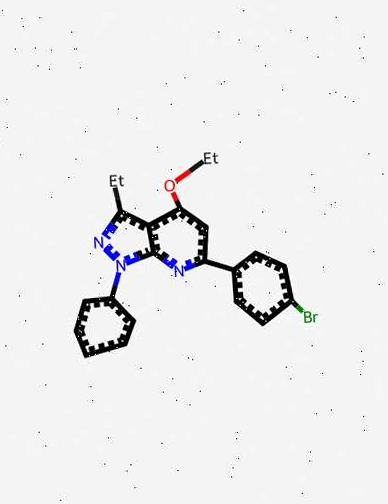 CCOc1cc(-c2ccc(Br)cc2)nc2c1c(CC)nn2-c1ccccc1